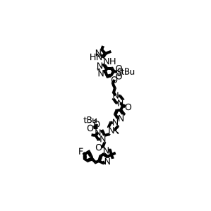 Cc1n[nH]c(Nc2ncnc3cc(OCCCN4CCN(C(=O)c5ccc(N6CCN(CC7CN(C(=O)OC(C)(C)C)C(C)CN7CC(=O)N7CC(C)(C)c8ncc(Cc9ccc(F)cc9)cc87)[C@H](C)C6)nc5)CC4)c(S(=O)(=O)C(C)(C)C)cc23)c1C